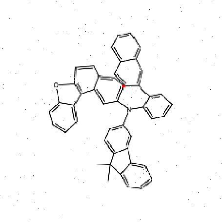 CC1(C)c2ccccc2-c2cc(N(c3ccc4ccc5oc6ccccc6c5c4c3)c3ccccc3-c3ccc4ccccc4c3)ccc21